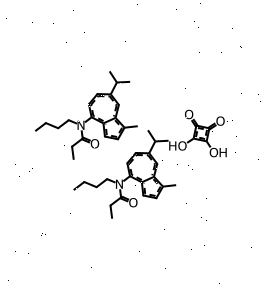 CCCCN(C(=O)CC)c1ccc(C(C)C)cc2c(C)ccc1-2.CCCCN(C(=O)CC)c1ccc(C(C)C)cc2c(C)ccc1-2.O=c1c(O)c(O)c1=O